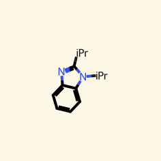 CC(C)c1nc2ccccc2n1C(C)C